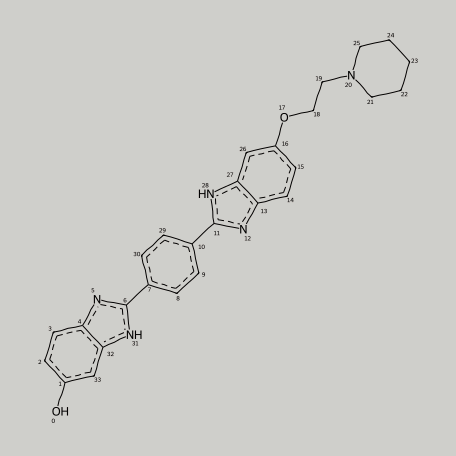 Oc1ccc2nc(-c3ccc(-c4nc5ccc(OCCN6CCCCC6)cc5[nH]4)cc3)[nH]c2c1